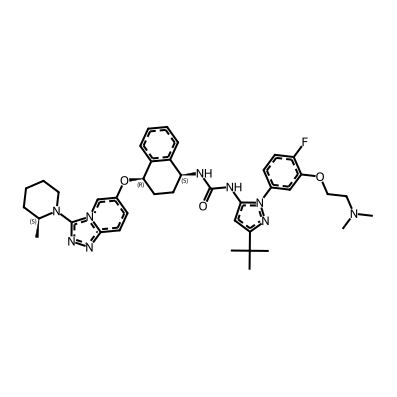 C[C@H]1CCCCN1c1nnc2ccc(O[C@@H]3CC[C@H](NC(=O)Nc4cc(C(C)(C)C)nn4-c4ccc(F)c(OCCN(C)C)c4)c4ccccc43)cn12